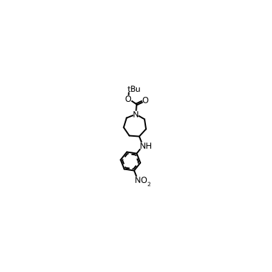 CC(C)(C)OC(=O)N1CCCC(Nc2cccc([N+](=O)[O-])c2)CC1